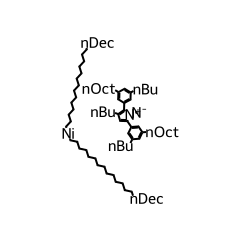 CCCCCCCCCCCCCCCCCCCCCCC[CH2][Ni][CH2]CCCCCCCCCCCCCCCCCCCCCCC.CCCCCCCCc1cc(CCCC)cc(C2=CC(CCCC)=C(c3cc(CCCC)cc(CCCCCCCC)c3)[N+]2=[N-])c1